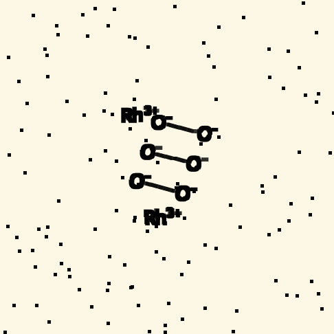 [O-][O-].[O-][O-].[O-][O-].[Rh+3].[Rh+3]